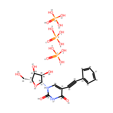 O=P(O)(O)O.O=P(O)(O)O.O=P(O)(O)O.O=c1[nH]c(=O)n([C@@H]2O[C@H](CO)[C@@H](O)[C@H]2O)cc1C#Cc1ccccc1